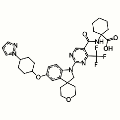 O=C(NC1(C(=O)O)CCCCC1)c1cnc(N2CC3(CCOCC3)c3cc(OC4CCC(n5cccn5)CC4)ccc32)nc1C(F)(F)F